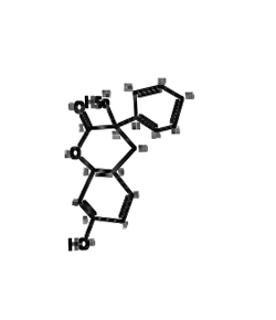 O=C1Oc2cc(O)ccc2CC1([SeH])c1ccccc1